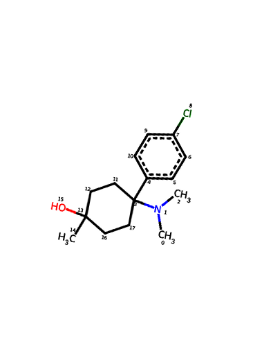 CN(C)C1(c2ccc(Cl)cc2)CCC(C)(O)CC1